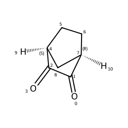 O=C1C(=O)[C@H]2CC[C@@H]1C2